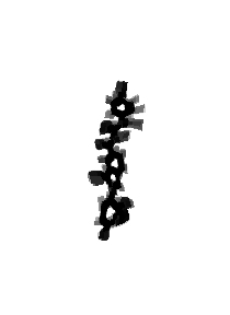 O=C1CCC(N2Cc3ccc(C(=O)NC(=O)Nc4ccc(Cl)cc4)cc3C2=O)C(=O)N1